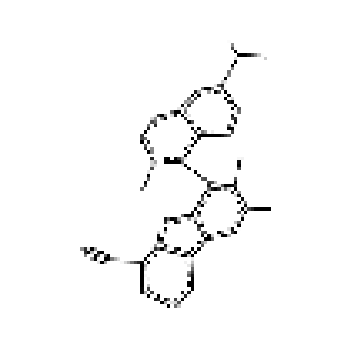 Cc1cc2c(oc3c(C#N)cccc32)c(-c2c3ccc(C(C)C)cc3cc[n+]2C)c1C